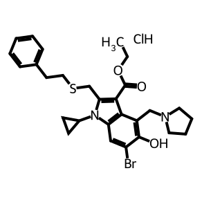 CCOC(=O)c1c(CSCCc2ccccc2)n(C2CC2)c2cc(Br)c(O)c(CN3CCCC3)c12.Cl